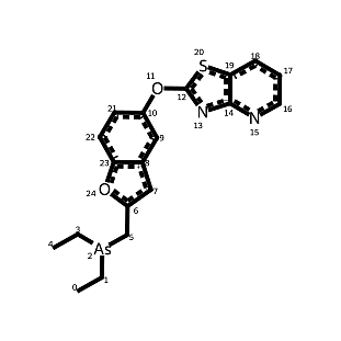 CC[As](CC)Cc1cc2cc(Oc3nc4ncccc4s3)ccc2o1